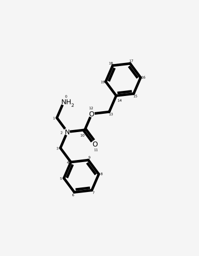 NCN(Cc1ccccc1)C(=O)OCc1ccccc1